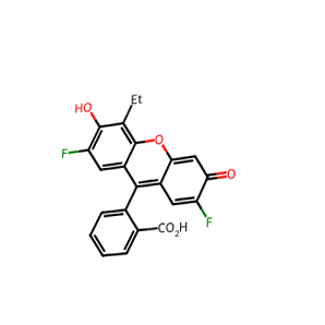 CCc1c(O)c(F)cc2c(-c3ccccc3C(=O)O)c3cc(F)c(=O)cc-3oc12